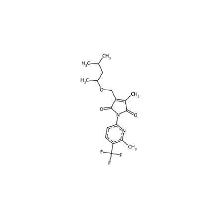 CC1=C(COC(C)CC(C)C)C(=O)N(c2ccc(C(F)(F)F)c(C)n2)C1=O